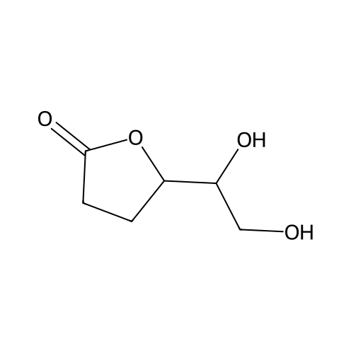 O=C1CCC(C(O)CO)O1